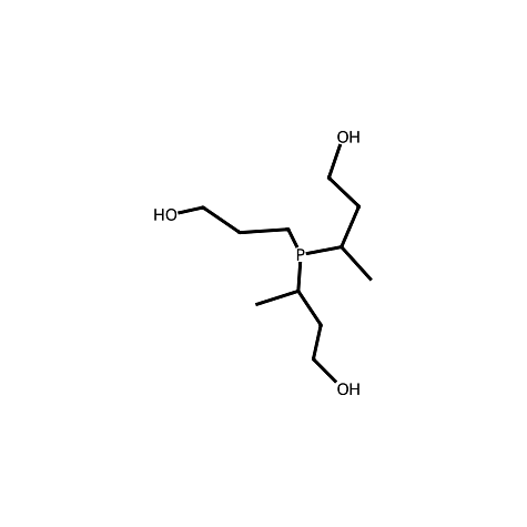 CC(CCO)P(CCCO)C(C)CCO